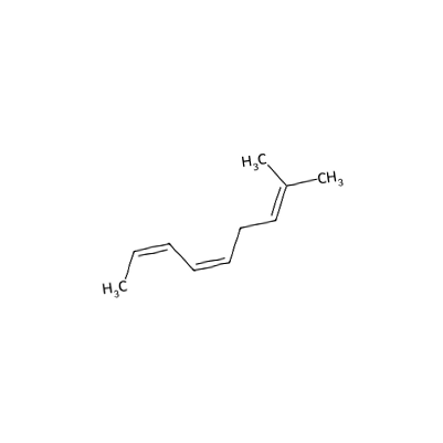 C/C=C\C=C/CC=C(C)C